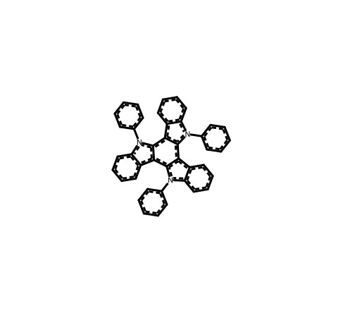 c1ccc(-n2c3ccccc3c3c2c2c4ccccc4n(-c4ccccc4)c2c2c4ccccc4n(-c4ccccc4)c32)cc1